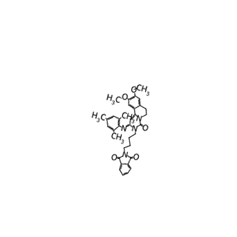 COc1cc2c(cc1OC)-c1cc(=Nc3c(C)cc(C)cc3C)n(CCCCN3C(=O)c4ccccc4C3=O)c(=O)n1CC2